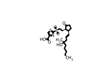 CCCCCC(C)(O)C/C=C/[C@@H]1CCC(=O)[C@@H]1CCS(=O)(=O)c1nc(C(=O)O)cs1